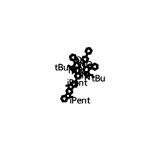 CCCC(C)C1(C)c2ccccc2-c2cc3c(cc21)-c1ccc(-c2cc4c5c(c2)-n2nc(CC(C)(C)C)c6c7c(oc8ccccc87)c7c(c62)B5c2c(c5oc6ccccc6c5c5c(CC(C)(C)C)nn-4c25)N7c2ccc(-c4ccccc4)cc2)cc1C3(C)C(C)CCC